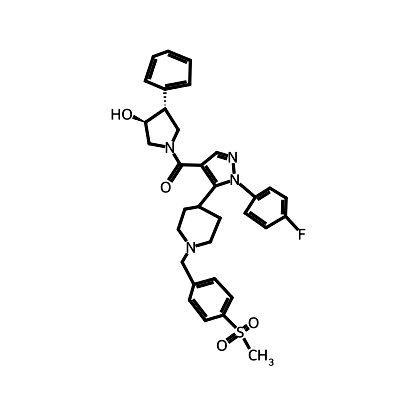 CS(=O)(=O)c1ccc(CN2CCC(c3c(C(=O)N4C[C@@H](O)[C@H](c5ccccc5)C4)cnn3-c3ccc(F)cc3)CC2)cc1